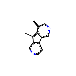 C=c1cncc2c1=C(C)c1cnccc1-2